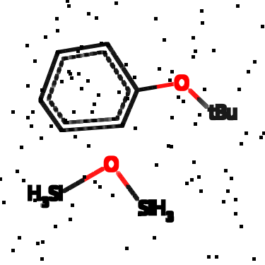 CC(C)(C)Oc1ccccc1.[SiH3]O[SiH3]